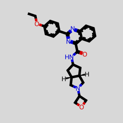 CCOc1ccc(-c2nc(C(=O)NC3C[C@@H]4CN(C5COC5)C[C@@H]4C3)c3ccccc3n2)cc1